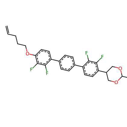 C=CCCCOc1ccc(-c2ccc(-c3ccc(C4COC(C)OC4)c(F)c3F)cc2)c(F)c1F